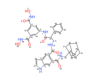 O=C(NO)c1cc(NC(=O)C(CNC(=O)c2cc3cc[nH]c3cc2C(=O)NCC23CC4CC(CC(C4)C2)C3)c2ccccc2)cc(C(=O)NO)c1